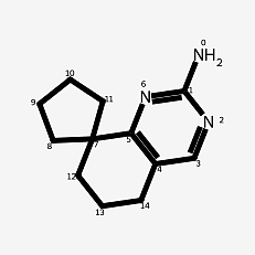 Nc1ncc2c(n1)C1(CCCC1)CCC2